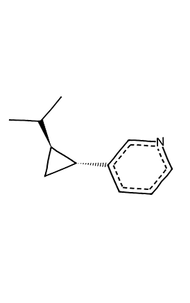 CC(C)[C@@H]1C[C@H]1c1cccnc1